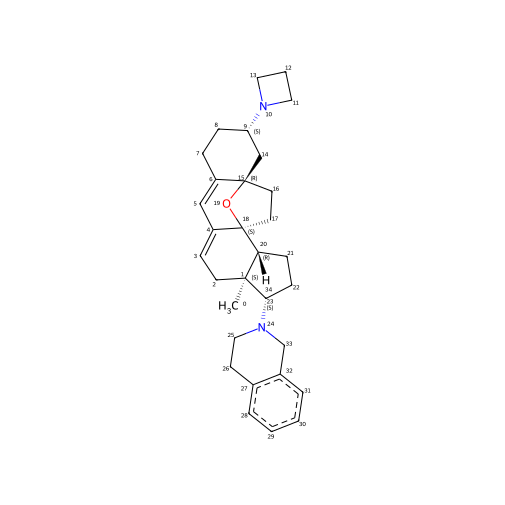 C[C@]12CC=C3C=C4CC[C@H](N5CCC5)C[C@]45CC[C@]3(O5)[C@@H]1CC[C@@H]2N1CCc2ccccc2C1